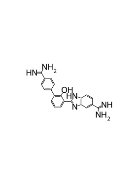 N=C(N)c1ccc(-c2cccc(-c3nc4cc(C(=N)N)ccc4[nH]3)c2O)cc1